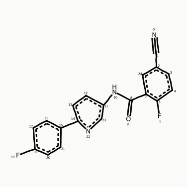 N#Cc1ccc(F)c(C(=O)Nc2ccc(-c3ccc(F)cc3)nc2)c1